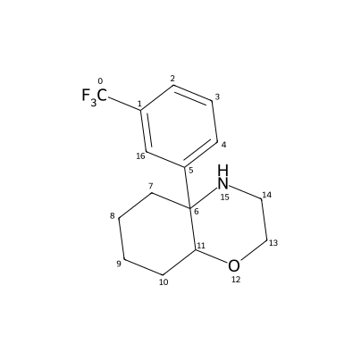 FC(F)(F)c1cccc(C23CCCCC2OCCN3)c1